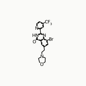 O=c1[nH]c(-c2cc(C(F)(F)F)ccn2)nc2c(Br)cc(CCN3CCOCC3)cc12